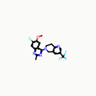 COc1cc2c(N3CCc4ncc(C(F)(F)F)cc4C3)nc(C)nc2cc1F